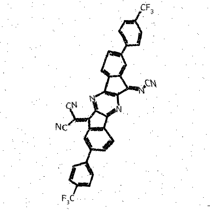 N#C/N=C1\c2cc(-c3ccc(C(F)(F)F)cc3)ccc2-c2nc3c(nc21)-c1ccc(-c2ccc(C(F)(F)F)cc2)cc1C3=C(C#N)C#N